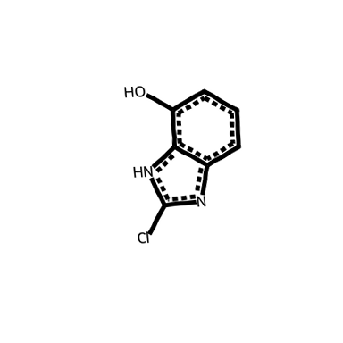 Oc1cccc2nc(Cl)[nH]c12